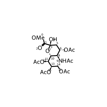 COC(=O)[C@]1(O)C[C@H](OC(C)=O)[C@@H](NC(C)=O)[C@H]([C@H](OC(C)=O)[C@@H](COC(C)=O)OC(C)=O)O1